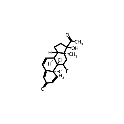 CC(=O)[C@@]1(O)CC[C@H]2[C@@H]3C=CC4=CC(=O)C=C[C@]4(C)[C@@]3(Cl)C(F)C[C@@]21C